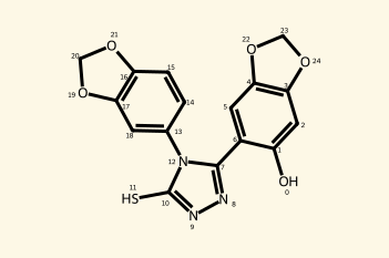 Oc1cc2c(cc1-c1nnc(S)n1-c1ccc3c(c1)OCO3)OCO2